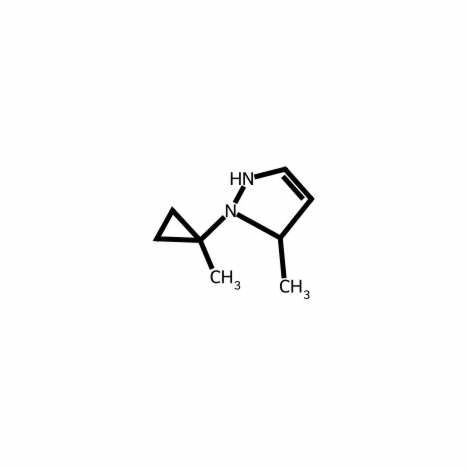 CC1C=CNN1C1(C)CC1